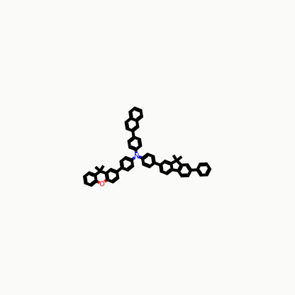 CC1(C)c2ccccc2Oc2ccc(-c3ccc(N(c4ccc(-c5ccc6c(c5)C(C)(C)c5cc(-c7ccccc7)ccc5-6)cc4)c4ccc(-c5ccc6ccccc6c5)cc4)cc3)cc21